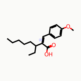 CCCCCC(CC)/C(=C/c1ccc(OC)cc1)C(=O)O